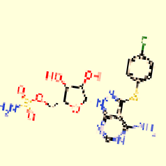 Nc1ncnc2c1c(Sc1ccc(Cl)cc1)nn2[C@@H]1O[C@H](COS(N)(=O)=O)[C@@H](O)[C@H]1O